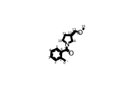 [CH2]c1ccccc1C(=O)N1CCC(=COC)C1